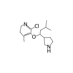 CC1=C(OC(CC(C)C)C2CCNC2)C(Cl)=NCC1